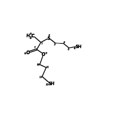 CC(SCCCS)C(=O)OCCCS